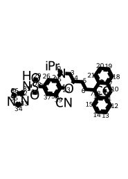 CC(C)N(C)CC(CCC12CCC(c3ccccc31)c1ccccc12)Oc1ccc(S(=O)(=O)Nc2ncns2)cc1C#N